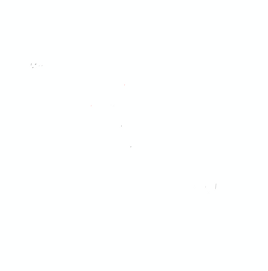 COC(C)OOC(=O)C(C)(C)C(C)(C)CCCC(=O)O